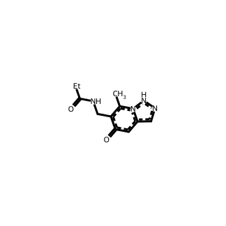 CCC(=O)NCc1c(C)n2[nH]ncc2cc1=O